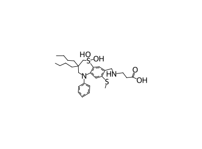 CCCCC1(CCCC)CN(c2ccccc2)c2cc(SC)c(CNCCC(=O)O)cc2S(O)(O)C1